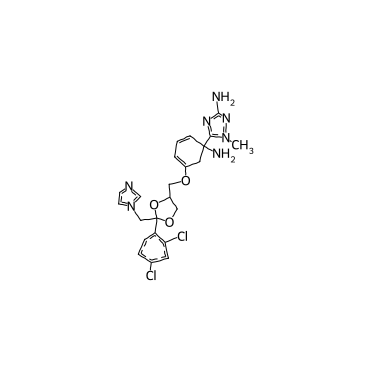 Cn1nc(N)nc1C1(N)C=CC=C(OCC2COC(Cn3ccnc3)(c3ccc(Cl)cc3Cl)O2)C1